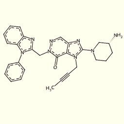 CC#CCn1c(N2CCC[C@@H](N)C2)nc2cnn(Cc3nc4ccccc4n3-c3ccccc3)c(=O)c21